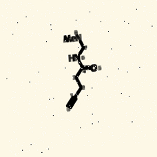 C#CCCC(=O)NCNC